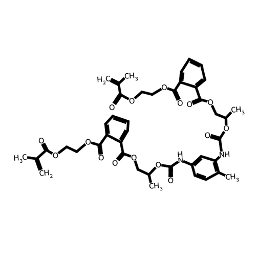 C=C(C)C(=O)OCCOC(=O)c1ccccc1C(=O)OCC(C)OC(=O)Nc1ccc(C)c(NC(=O)OC(C)COC(=O)c2ccccc2C(=O)OCCOC(=O)C(=C)C)c1